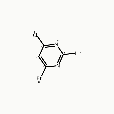 CCc1cc(Cl)nc(I)n1